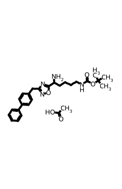 CC(=O)O.CC(C)(C)OC(=O)NCCCCC(N)c1nc(Cc2ccc(-c3ccccc3)cc2)no1